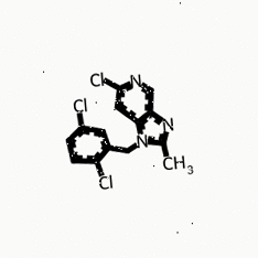 Cc1nc2cnc(Cl)cc2n1Cc1cc(Cl)ccc1Cl